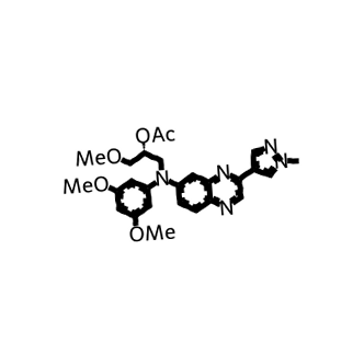 COC[C@@H](CN(c1cc(OC)cc(OC)c1)c1ccc2ncc(-c3cnn(C)c3)nc2c1)OC(C)=O